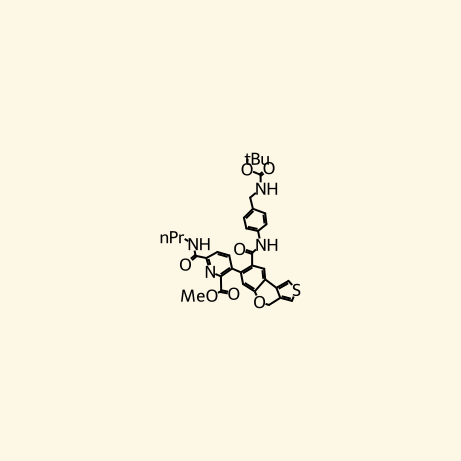 CCCNC(=O)c1ccc(-c2cc3c(cc2C(=O)Nc2ccc(CNC(=O)OC(C)(C)C)cc2)-c2cscc2CO3)c(C(=O)OC)n1